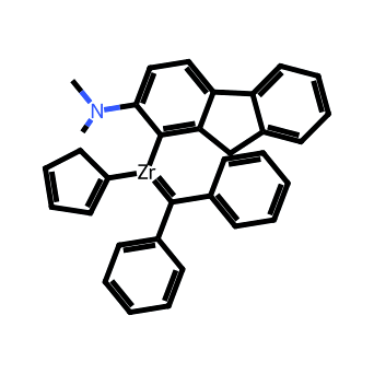 CN(C)c1ccc2c([c]1[Zr]([C]1=CC=CC1)=[C](c1ccccc1)c1ccccc1)Cc1ccccc1-2